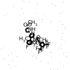 COC(=O)[C@H]1CC[C@@H](c2cc(-c3ccc(F)cc3C)c(N(C)C(=O)C(C)(C)c3cc(C(F)(F)F)cc(C(F)(F)F)c3)cn2)N1